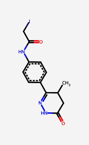 CC1CC(=O)NN=C1c1ccc(NC(=O)CI)cc1